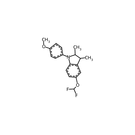 COc1ccc(N2c3ccc(OC(F)F)cc3C(C)C2C)cc1